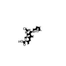 CC(Cc1c(F)c2c(NCc3ccco3)nc(Cl)nc2n1C)NC(=O)O